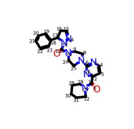 O=C(c1ccnc(N2CCN(C(=O)N3N=CCC3c3ccccc3)CC2)n1)N1CCCCC1